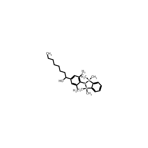 CCCCCCCC(O)c1cc(C)c(N2[Si](C)(C)c3ccccc3[Si]2(C)C)c(C)c1